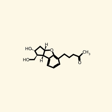 CC(=O)CCCc1cccc2c1O[C@H]1C[C@@H](O)[C@H](CO)[C@@H]21